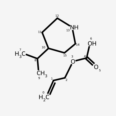 C=CCOC(=O)O.CC(C)C1CCNCC1